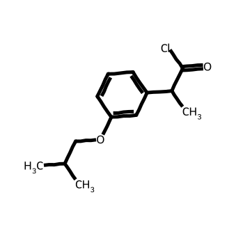 CC(C)COc1cccc(C(C)C(=O)Cl)c1